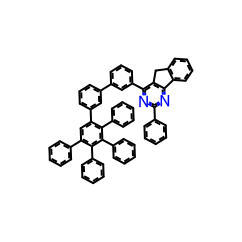 c1ccc(-c2nc(-c3cccc(-c4cccc(-c5cc(-c6ccccc6)c(-c6ccccc6)c(-c6ccccc6)c5-c5ccccc5)c4)c3)c3c(n2)-c2ccccc2C3)cc1